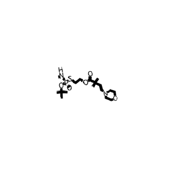 CNP(=O)(OC(C)(C)C)SCCOC(=O)C(C)(C)CCN1CCOCC1